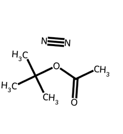 CC(=O)OC(C)(C)C.N#N